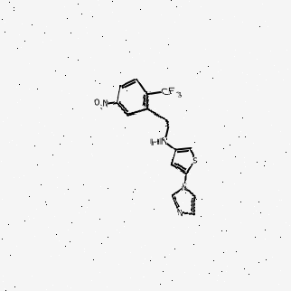 O=[N+]([O-])c1ccc(C(F)(F)F)c(CNc2csc(-n3ccnc3)c2)c1